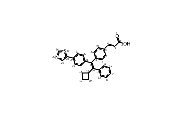 O=C(O)C=Cc1ccc(C(=C(c2ccccc2)C2CCC2)c2ccc(-c3cncs3)cc2)cc1